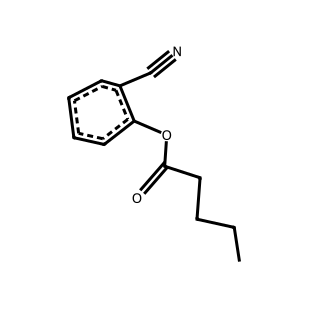 CCCCC(=O)Oc1ccccc1C#N